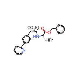 CCOC(=O)[C@H](Cc1ccc(-c2ccccn2)cc1)N[C@@H](CC(C)C)C(=O)OCc1ccccc1